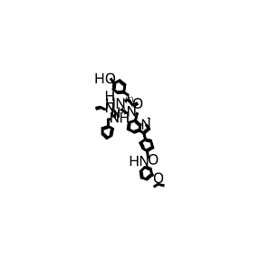 C=CCNN(NCc1ccccc1)[C@H]1CN(Cc2cccc3c(-c4ccc(C(=O)Nc5cccc(OC(C)C)c5)cc4)cn(C)c23)C(=O)[C@H](Cc2ccc(O)cc2)N1